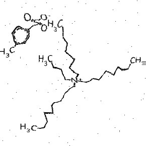 CCCCCCCC[N+](CCCC)(CCCCCCCC)CCCCCCCC.Cc1ccc(S(=O)(=O)[O-])cc1